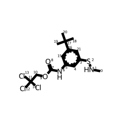 CNSc1cc(NC(=O)OCC(Cl)(Cl)Cl)cc(C(C)(C)C)c1